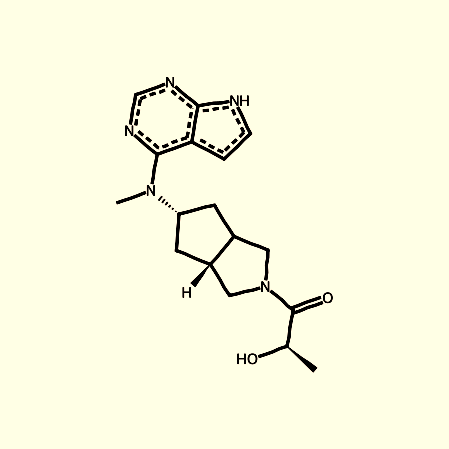 C[C@@H](O)C(=O)N1CC2C[C@@H](N(C)c3ncnc4[nH]ccc34)C[C@H]2C1